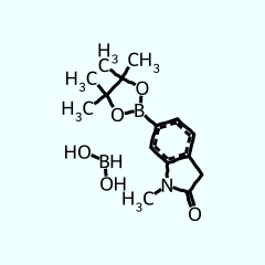 CN1C(=O)Cc2ccc(B3OC(C)(C)C(C)(C)O3)cc21.OBO